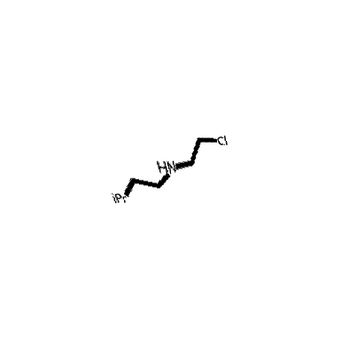 CC(C)CCNCCCl